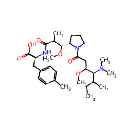 CCC(C)[C@@H](C(CC(=O)N1CCC[C@H]1C(OC)C(C)C(=O)N[C@@H](Cc1ccc(C)cc1)C(=O)O)OC)N(C)C